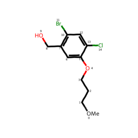 COCCCOc1cc(CO)c(Br)cc1Cl